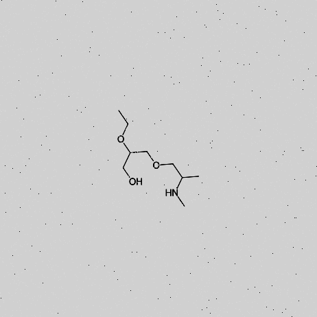 CCOC(CO)COCC(C)NC